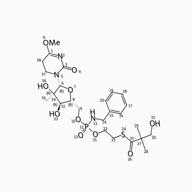 COC1=NC(=O)N([C@@H]2O[C@H](COP(=O)(NCc3ccccc3)OCCSC(=O)C(C)(C)CO)[C@@H](O)[C@@]2(C)O)CC1